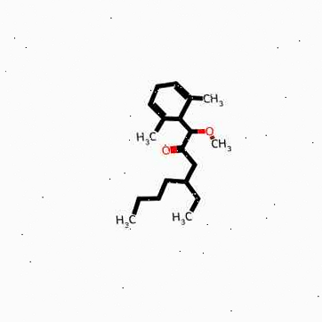 CCCCC(CC)CC(=O)C(OC)C1C(C)=CCC=C1C